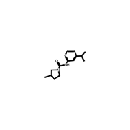 CC1CCN(C(=O)Nc2cc(C(C)C)ccn2)C1